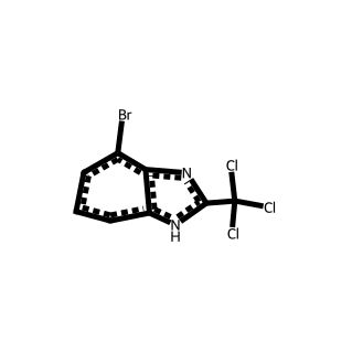 ClC(Cl)(Cl)c1nc2c(Br)cccc2[nH]1